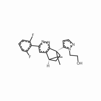 CC1(C)[C@H]2CC[C@]1(c1ccnn1CCO)c1nnc(-c3c(F)cccc3F)cc12